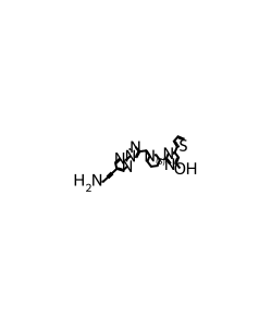 NCC#Cc1cnc(-n2cnc(CN3CCC[C@H](c4nc(O)cc(-c5cccs5)n4)C3)c2)nc1